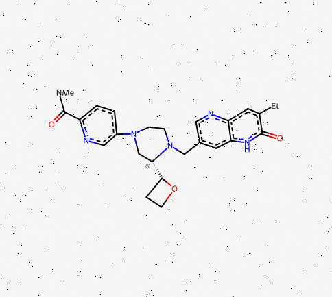 CCc1cc2ncc(CN3CCN(c4ccc(C(=O)NC)nc4)C[C@H]3C3CCO3)cc2[nH]c1=O